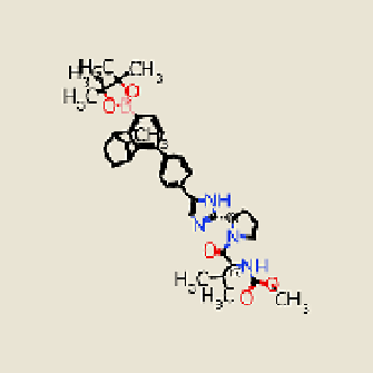 COC(=O)N[C@H](C(=O)N1CCC[C@H]1c1ncc(-c2ccc(-c3ccc(B4OC(C)(C)C(C)(C)O4)c4c3C3CCC4C3C)cc2)[nH]1)C(C)C